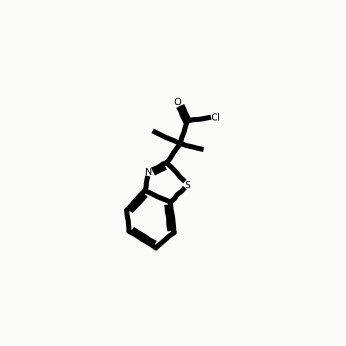 CC(C)(C(=O)Cl)c1nc2ccccc2s1